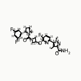 Cc1c(C(N)=O)nn(C)c1-c1ccc(F)c(OC2CN(C(=O)N3N=CC[C@H]3c3cc(F)cc(F)c3)C2)n1